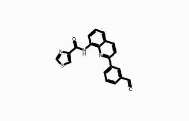 O=Cc1cccc(-c2ccc3cccc(NC(=O)c4cscn4)c3n2)c1